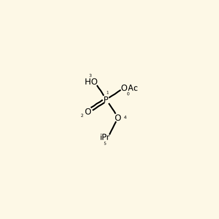 CC(=O)OP(=O)(O)OC(C)C